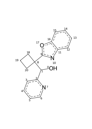 OC(c1ccccn1)C1(c2nc3ccccc3o2)CCC1